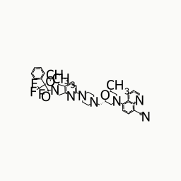 COC(C(=O)N1Cc2nc(N3CCN(C[C@H]4CN(c5ccc(C#N)c6ncccc56)C[C@@H](C)O4)CC3)ccc2[C@H]1C)(c1ccccc1)C(F)(F)F